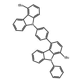 CC(C)(C)c1cccc2c1c1ccccc1n2-c1ccc(-c2ccc(C(C)(C)C)c3c2c2ccccc2n3-c2ccccc2)cc1